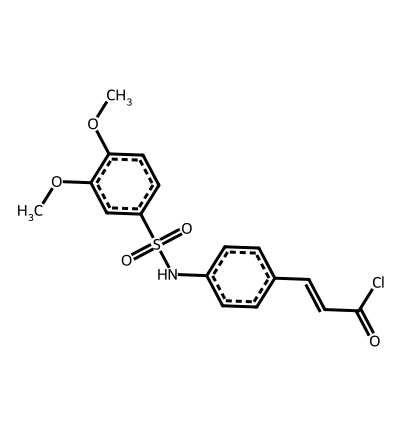 COc1ccc(S(=O)(=O)Nc2ccc(C=CC(=O)Cl)cc2)cc1OC